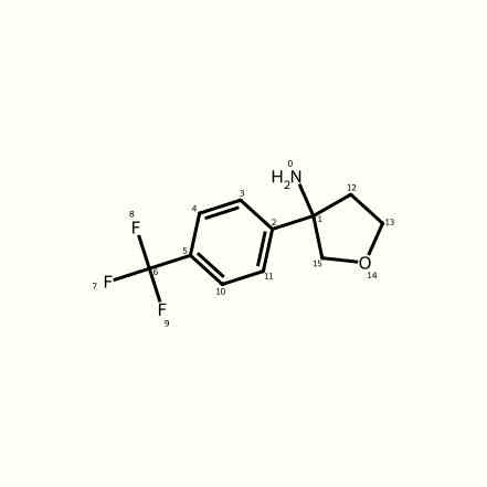 NC1(c2ccc(C(F)(F)F)cc2)CCOC1